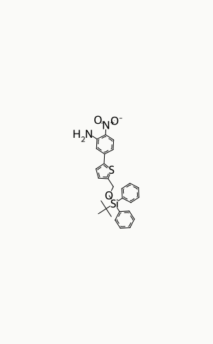 CC(C)(C)[Si](OCc1ccc(-c2ccc([N+](=O)[O-])c(N)c2)s1)(c1ccccc1)c1ccccc1